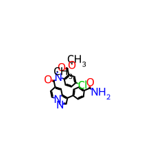 COC(=O)c1cc(Cl)ccc1N(C)C(=O)c1ccn2ncc(-c3ccc(C(N)=O)cc3)c2c1